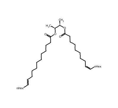 CCCCCC/C=C\CCCCCCCC(=O)O[C@H](C)[C@H](C)OC(=O)CCCCCCCCC/C=C/CCCCCC